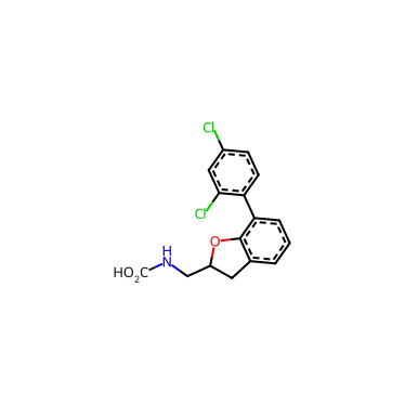 O=C(O)NCC1Cc2cccc(-c3ccc(Cl)cc3Cl)c2O1